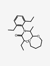 CCc1cccc(CC)c1N(C(=O)C(Cl)CC)C(C)C1OCCCCO1